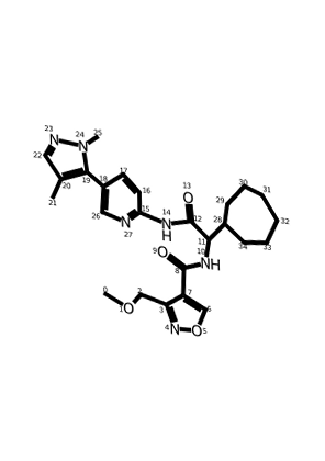 COCc1nocc1C(=O)NC(C(=O)Nc1ccc(-c2c(C)cnn2C)cn1)C1CCCCCC1